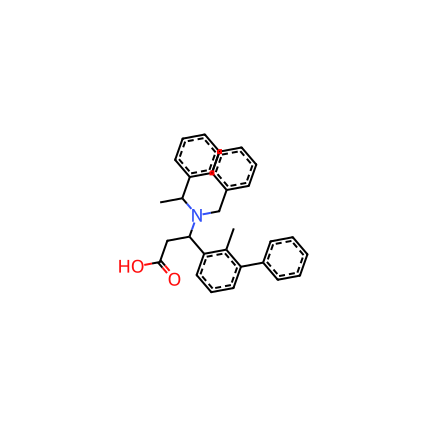 Cc1c(-c2ccccc2)cccc1C(CC(=O)O)N(Cc1ccccc1)C(C)c1ccccc1